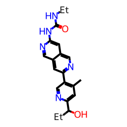 CCNC(=O)Nc1cc2cnc(-c3cnc(C(O)CC)cc3C)cc2cn1